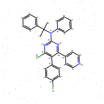 CC(C)(c1ccccc1)N(c1ccccc1)c1nc(Cl)c(-c2ccc(F)cc2)c(-c2ccncc2)n1